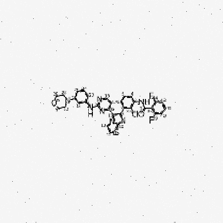 O=C(Nc1cccc(-c2nc3sccn3c2-c2ccnc(Nc3cccc(N4CCOCC4)c3)n2)c1Cl)c1c(F)cccc1F